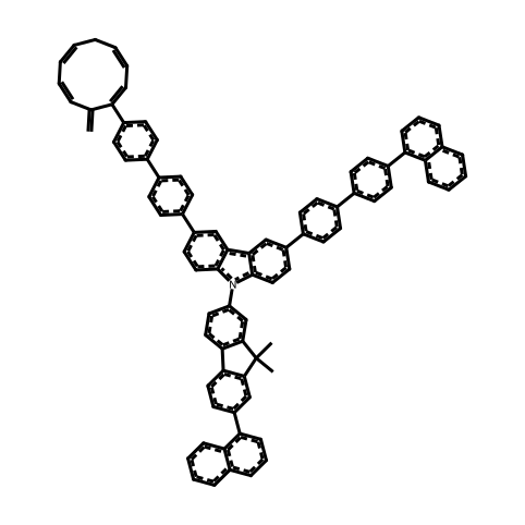 C=C1/C=C\C=C/C/C=C\C=C/1c1ccc(-c2ccc(-c3ccc4c(c3)c3cc(-c5ccc(-c6ccc(-c7cccc8ccccc78)cc6)cc5)ccc3n4-c3ccc4c(c3)C(C)(C)c3cc(-c5cccc6ccccc56)ccc3-4)cc2)cc1